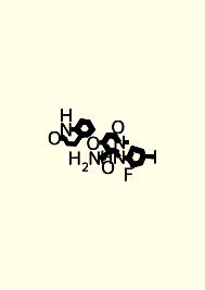 Cn1c(Nc2ccc(I)cc2F)c(C(N)=O)c(Oc2cccc3c2CCC(=O)N3)cc1=O